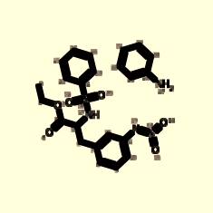 CCOC(=O)C(Cc1cccc(N=S(=O)=O)c1)NS(=O)(=O)c1ccccc1.Nc1ccccc1